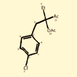 CCC(Cc1ccc(Cl)cc1)(OC(C)=O)C(C)=O